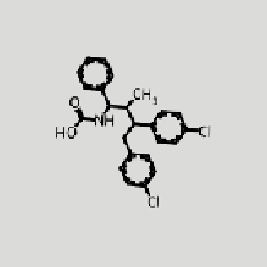 CC(C(Cc1ccc(Cl)cc1)c1ccc(Cl)cc1)C(NC(=O)O)c1ccccc1